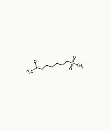 C[S+]([O-])CCCCCCS(C)(=O)=O